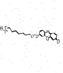 CCCCCCCCOCOc1ccc2nc3ccc(=O)cc-3oc2c1